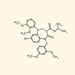 COc1ccc(CN2C(=O)C(C(=O)OC(C)C)CC(c3cccc(OC)c3OC)c3cc(Cl)ccc32)c(OC)c1